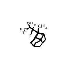 CC1(C(F)(F)C(O)C(F)(F)F)C2CC3CC(C2)CC1C3